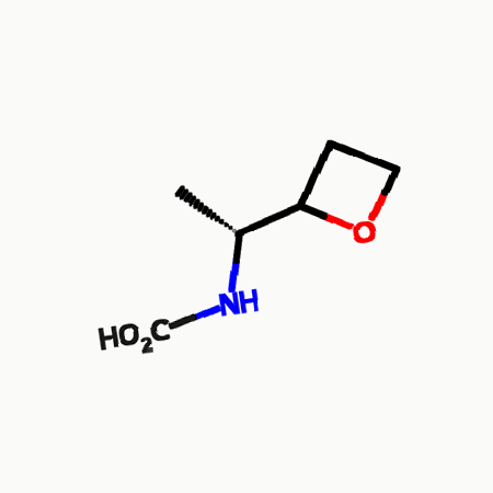 C[C@@H](NC(=O)O)C1CCO1